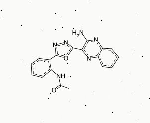 CC(=O)Nc1ccccc1-c1nnc(-c2nc3ccccc3nc2N)o1